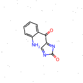 Nc1ccccc1C(=O)C1=NC(=O)N=C1